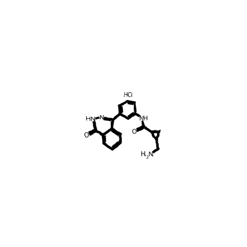 Cl.NCC1CC1C(=O)Nc1cccc(-c2n[nH]c(=O)c3ccccc23)c1